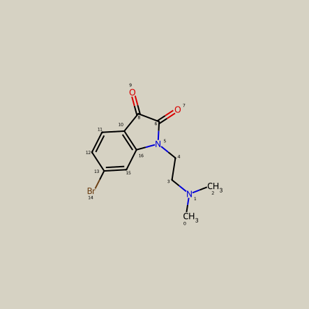 CN(C)CCN1C(=O)C(=O)c2ccc(Br)cc21